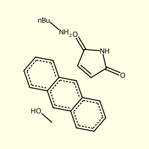 CCCCN.CO.O=C1C=CC(=O)N1.c1ccc2cc3ccccc3cc2c1